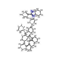 C1=CCCC(c2c3ccccc3c(-c3cccc4cc5c(cc34)=C3C=CCCC3CC=5)c3ccc(C4C=CC(n5c(C6=CCCC=C6)nc6ccccc65)=CC4)cc23)=C1